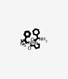 NC(C(=O)N1CCCC1C(=O)Nc1snnc1-c1ccccc1)C1CCCCC1